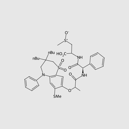 CCCCC1(CCCC)CN(c2ccccc2)c2cc(SC)c(OC(C)C(=O)N[C@@H](C(=O)NC(C[S+](C)[O-])C(=O)O)c3ccccc3)cc2S(=O)(=O)C1